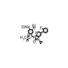 CCOc1cc([C@@H](CS(C)(=O)=O)n2c(=O)n(C3CC3)c3cc(-c4ccccc4F)cnc32)ccc1OC